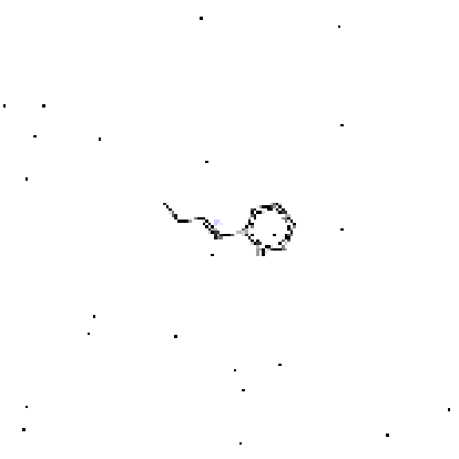 CC/C=C/[n+]1ccccn1